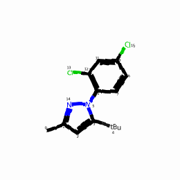 Cc1cc(C(C)(C)C)n(-c2ccc(Cl)cc2Cl)n1